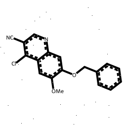 COc1cc2c(Cl)c(C#N)cnc2cc1OCc1ccccc1